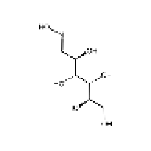 OC[C@@H](O)[C@@H](O)[C@H](O)[C@H](O)C=NO